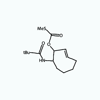 CSC(=O)OC1/C=C/CCCCC1NC(=O)C(C)(C)C